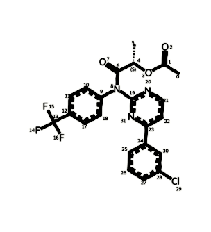 CC(=O)O[C@@H](C)C(=O)N(c1ccc(C(F)(F)F)cc1)c1nccc(-c2cccc(Cl)c2)n1